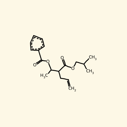 C=CCC(C(=O)OCC(C)C)C(C)OC(=O)c1ccccc1